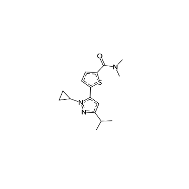 CC(C)c1cc(-c2ccc(C(=O)N(C)C)s2)n(C2CC2)n1